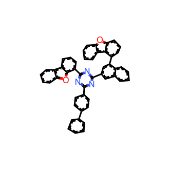 c1ccc(-c2ccc(-c3nc(-c4cc(-c5cccc6oc7ccccc7c56)c5ccccc5c4)nc(-c4cccc5c4oc4ccccc45)n3)cc2)cc1